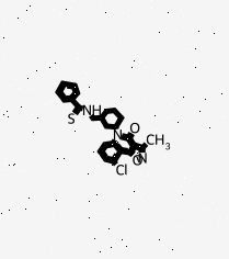 Cc1noc2c1c(=O)n(C1CCCC(CNC(=S)c3ccccc3)C1)c1cccc(Cl)c21